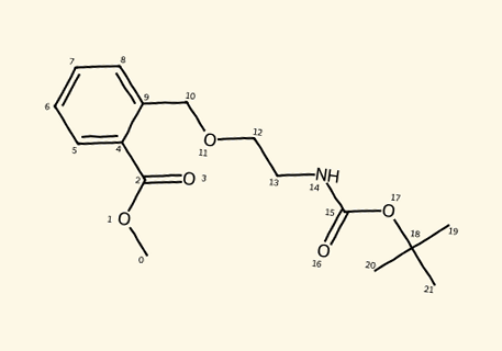 COC(=O)c1ccccc1COCCNC(=O)OC(C)(C)C